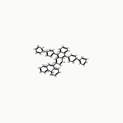 c1ccc(-c2ccc(-c3c4ccccc4c(-c4ccc(-c5ccccc5)cc4)c4cc(-c5cc6ccccc6c6ncccc56)ccc34)cc2)cc1